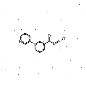 [N-]=[N+]=NC(=O)c1cccc(-c2cccnc2)c1